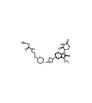 Cn1c(=O)n(C2CCC(=O)NC2=O)c2ccc(C3CN(C[C@H]4CC[C@H](OCCNC(=O)OC(C)(C)C)CC4)C3)cc21